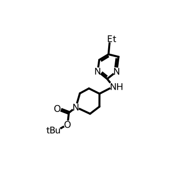 CCc1cnc(NC2CCN(C(=O)OC(C)(C)C)CC2)nc1